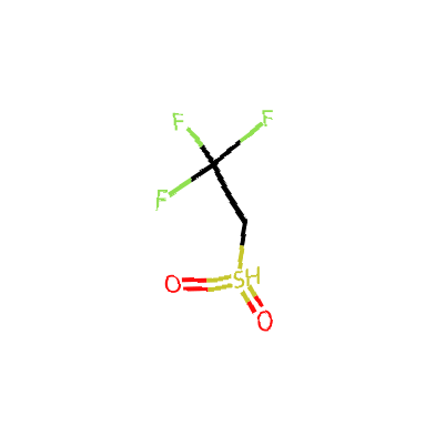 O=[SH](=O)CC(F)(F)F